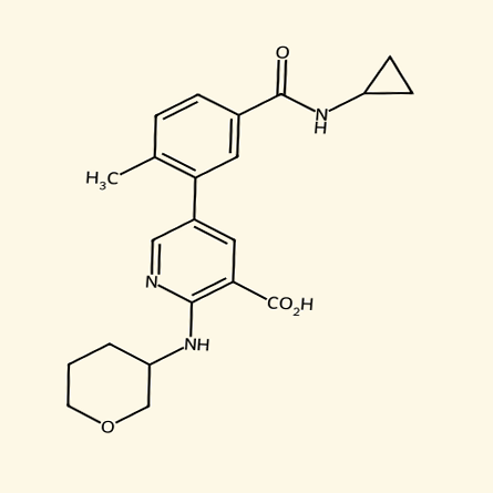 Cc1ccc(C(=O)NC2CC2)cc1-c1cnc(NC2CCCOC2)c(C(=O)O)c1